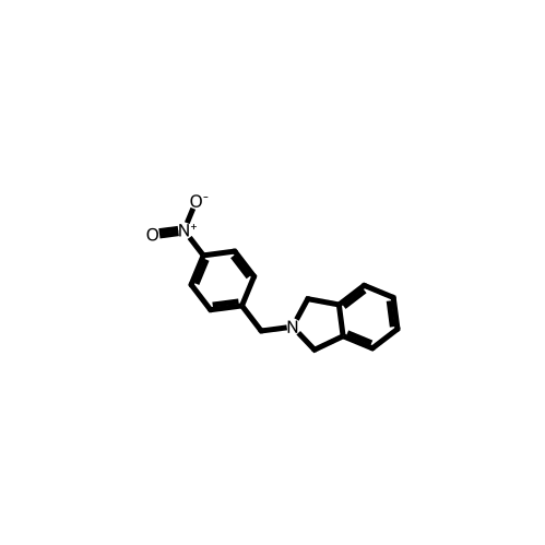 O=[N+]([O-])c1ccc(CN2Cc3ccccc3C2)cc1